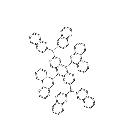 C1=CC2C(c3c4cc(N(c5ccc6ccccc6c5)c5ccc6ccccc6c5)ccc4c(-c4cc5ccccc5c5ccccc45)c4cc(N(c5ccc6ccccc6c5)c5ccc6ccccc6c5)ccc34)=Cc3ccccc3C2C=C1